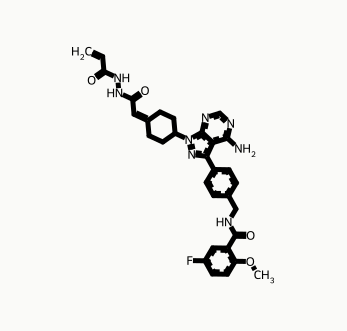 C=CC(=O)NNC(=O)C=C1CCC(n2nc(-c3ccc(CNC(=O)c4cc(F)ccc4OC)cc3)c3c(N)ncnc32)CC1